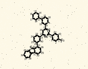 Fc1ccc(-c2nc(-c3cccc(-c4ccccc4)c3)cc(-c3cccc(-c4cccc5c4sc4ccccc45)c3)n2)cc1